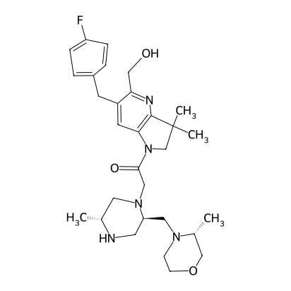 C[C@@H]1CN(CC(=O)N2CC(C)(C)c3nc(CO)c(Cc4ccc(F)cc4)cc32)[C@@H](CN2CCOC[C@H]2C)CN1